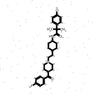 CC(C)(C(=O)NC1CCC(CCN2CCC(C(=O)c3ccc(F)cc3)CC2)CC1)c1ccc(Cl)cc1